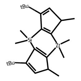 CC1C=C(C(C)(C)C)C2=[C]1[Zr]([CH3])([CH3])[C]1=C(C(C(C)(C)C)=CC1C)[Si]2(C)C